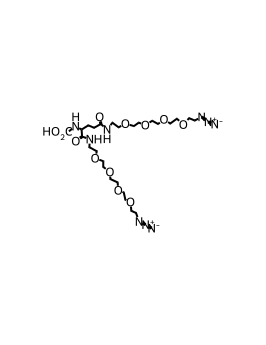 [N-]=[N+]=NCCOCCOCCOCCOCCNC(=O)CCC(NC(=O)O)C(=O)NCCOCCOCCOCCOCCN=[N+]=[N-]